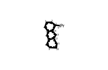 CC(C)c1cc[c]c2cc3ccccc3cc12